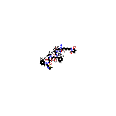 CO[C@H]([C@@H](C)C(=O)N[C@@H](Cc1ccccc1)c1nccs1)[C@@H]1CCCN1C(=O)C[C@@H](OC)[C@H](C1CCCCC1)N(C)C(=O)[C@@H](NC(=O)C(C)(C)NC(=O)CCCCCN1C(=O)C=CC1=O)C(C)C